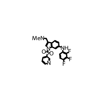 CNCc1cn(S(=O)(=O)c2cccnc2)c2cc(Nc3ccc(F)c(F)c3F)ccc12